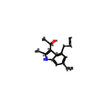 C=CCc1cc(C(=O)O)cc2[nH]c(CCC)c(C(=O)C(C)C)c12